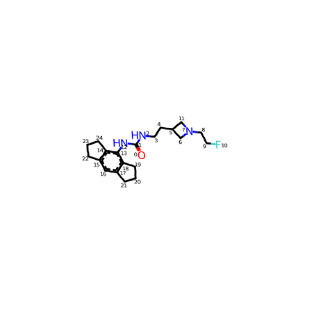 O=C(NCCC1CN(CCF)C1)Nc1c2c(cc3c1CCC3)CCC2